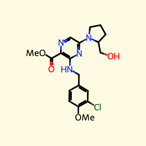 COC(=O)c1ncc(N2CCCC2CO)nc1NCc1ccc(OC)c(Cl)c1